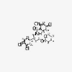 O=C(NCC(CCOC1CCCCO1)c1ccc(Cl)c(Cl)c1)c1ccc(Cl)cc1Cl